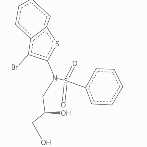 O=S(=O)(c1ccccc1)N(C[C@@H](O)CO)c1sc2ccccc2c1Br